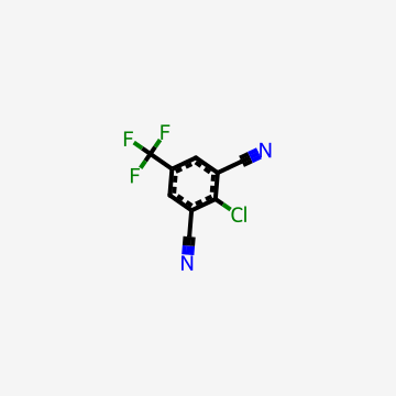 N#Cc1cc(C(F)(F)F)cc(C#N)c1Cl